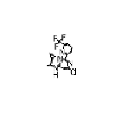 CC(Nc1cc(Cl)nc(-c2cccc(C(F)(F)F)n2)n1)C1CC1